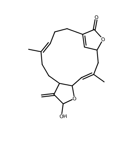 C=C1C(O)OC2/C=C(\C)CC3C=C(CC/C=C(\C)CCC12)C(=O)O3